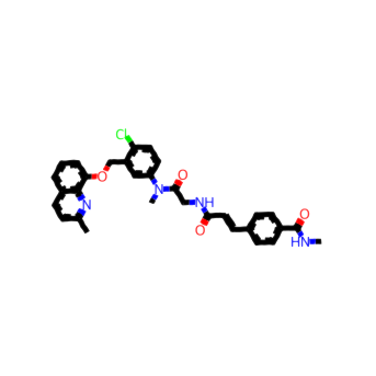 CNC(=O)c1ccc(C=CC(=O)NCC(=O)N(C)c2ccc(Cl)c(COc3cccc4ccc(C)nc34)c2)cc1